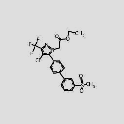 CCOC(=O)Cn1nc(C(F)(F)F)c(Cl)c1-c1ccc(-c2cccc(S(C)(=O)=O)c2)cc1